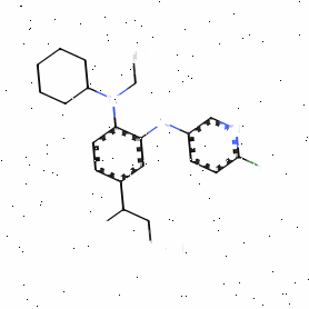 CC(C)CN(c1ccc(C(C)CC(=O)O)cc1Nc1ccc(Cl)nc1)C1CCCCC1